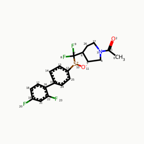 CC(=O)N1CCC(C(F)(F)[S+]([O-])c2ccc(-c3ccc(F)cc3F)cc2)CC1